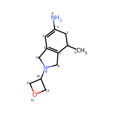 CC1CC(N)=CC2=C1CN(C1COC1)C2